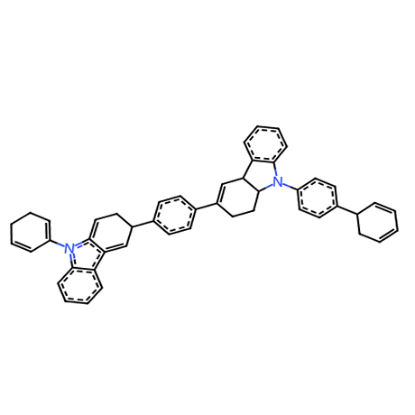 C1=CCC(c2ccc(N3c4ccccc4C4C=C(c5ccc(C6C=c7c(n(C8=CCCC=C8)c8ccccc78)=CC6)cc5)CCC43)cc2)C=C1